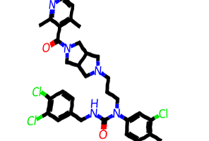 Cc1ccc(N(CCCN2CC3CN(C(=O)c4c(C)ccnc4C)CC3C2)C(=O)NCc2ccc(Cl)c(Cl)c2)cc1Cl